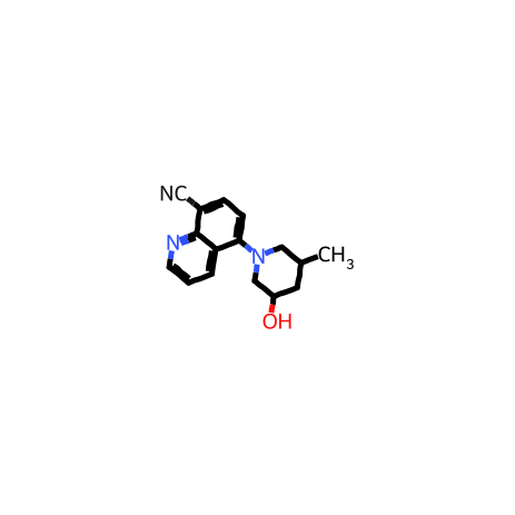 CC1CC(O)CN(c2ccc(C#N)c3ncccc23)C1